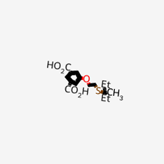 CCC(C)(CC)SCCOc1cc(C(=O)O)cc(C(=O)O)c1